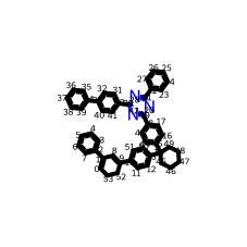 C1=C(c2ccccc2)C=C(c2ccc(C3(c4ccc(-c5nc(-c6ccccc6)nc(-c6ccc(-c7ccccc7)cc6)n5)cc4)CCCCC3)cc2)CC1